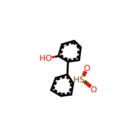 O=[SH](=O)c1ccccc1-c1ccccc1O